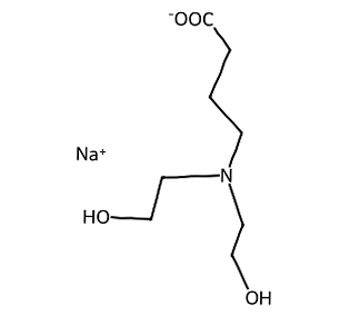 O=C([O-])CCCN(CCO)CCO.[Na+]